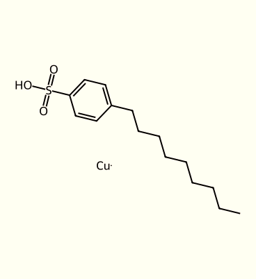 CCCCCCCCCc1ccc(S(=O)(=O)O)cc1.[Cu]